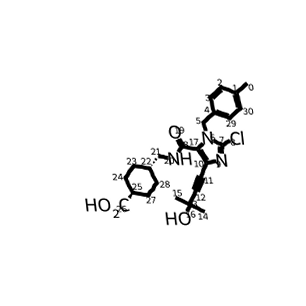 Cc1ccc(Cn2c(Cl)nc(C#CC(C)(C)O)c2C(=O)NC[C@H]2CC[C@H](C(=O)O)CC2)cc1